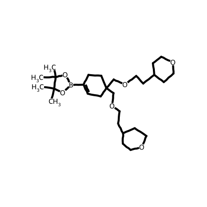 CC1(C)OB(C2=CCC(COCCC3CCOCC3)(COCCC3CCOCC3)CC2)OC1(C)C